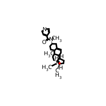 C[C@H]1[C@H]2CC[C@H]3[C@@H]4CC=C5C[C@@H](N(C)C(=O)c6ccncc6)CC[C@]5(C)C4CC[C@]23CN1C